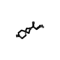 C=CC(=O)N1CC2(CCNCC2)C1